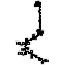 CC(C)(C)C(=O)COCCOCCNC(=O)CC[C@H](NC(=O)CC[C@H](NC(=O)CCCNC(=O)CCCS(=O)(=O)NC(=O)CCCCCCCCCCCCCCCc1nnn[nH]1)C(=O)O)C(=O)O